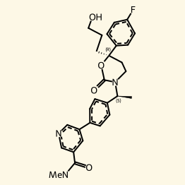 CNC(=O)c1cncc(-c2ccc([C@H](C)N3CC[C@](CCCO)(c4ccc(F)cc4)OC3=O)cc2)c1